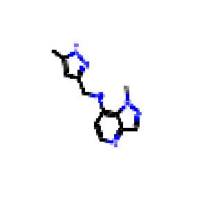 Cc1cc(CNc2ccnc3cnn(C)c23)n[nH]1